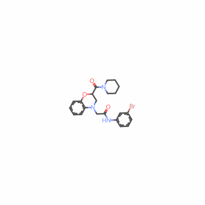 O=C(CN1CC(C(=O)N2CCCCC2)Oc2ccccc21)Nc1cccc(Br)c1